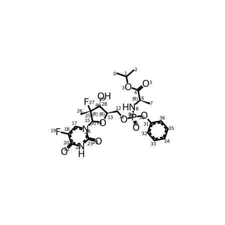 CC(C)OC(=O)[C@@H](C)N[P@@](=O)(OC[C@H]1O[C@@H](n2cc(F)c(=O)[nH]c2=O)[C@](C)(F)[C@@H]1O)Oc1ccccc1